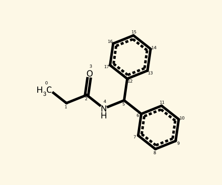 CCC(=O)NC(c1ccccc1)c1ccccc1